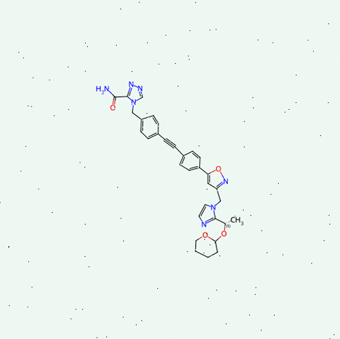 C[C@H](OC1CCCCO1)c1nccn1Cc1cc(-c2ccc(C#Cc3ccc(Cn4cnnc4C(N)=O)cc3)cc2)on1